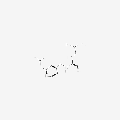 CC/C=C(\NCc1ccnc(OC(F)F)c1)NCC(O)C(C)(C)C